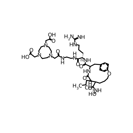 CC(C)C[C@H]1C(=O)NC(C(=O)N[C@@H](CCCNC(=N)N)C(=O)NCCNC(=O)CN2CCN(CC(=O)O)CCN(CC(=O)O)CC2)Cc2ccc(cc2)OCCCC1C(=O)NO